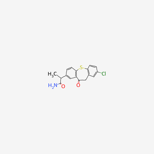 CC(C(N)=O)c1ccc2c(c1)C(=O)Cc1cc(Cl)ccc1S2